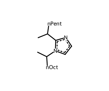 CCCCCCCCC(C)n1ccnc1C(C)CCCCC